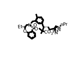 CCCn1cc(CC[C@@H](c2ccc(C)c(CN3C[C@@H](CC)Oc4ccccc4S3(=O)=O)c2)C(C)(C)C(=O)O)nn1